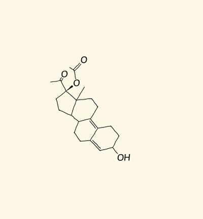 CC(=O)O[C@]1(C(C)=O)CCC2C3CCC4=CC(O)CCC4=C3CCC21C